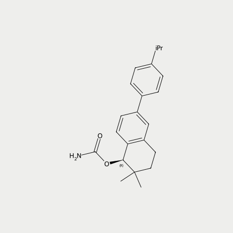 CC(C)c1ccc(-c2ccc3c(c2)CCC(C)(C)[C@H]3OC(N)=O)cc1